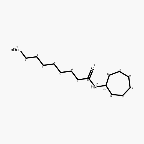 CCCCCCCCCCCCCCCCCC(=O)NC1CCCCCC1